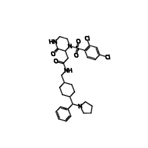 O=C(CC1C(=O)NCCN1S(=O)(=O)c1ccc(Cl)cc1Cl)NCC1CCC(C(c2ccccc2)N2CCCC2)CC1